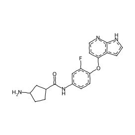 NC1CCC(C(=O)Nc2ccc(Oc3ccnc4[nH]ccc34)c(F)c2)C1